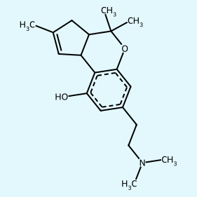 CC1=CC2c3c(O)cc(CCN(C)C)cc3OC(C)(C)C2C1